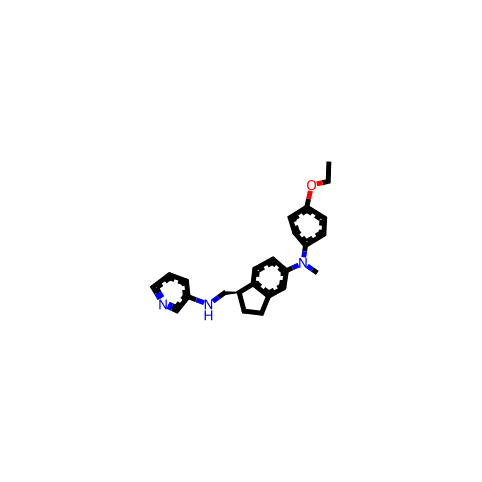 CCOc1ccc(N(C)c2ccc3c(c2)CC[C@H]3CNc2cccnc2)cc1